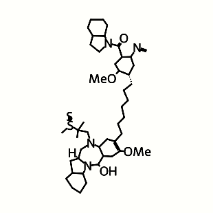 C=NC1C[C@H](CCCCCCCC2=C(OC)CC3C(C2)N(CC(C)(C)S(C)=S)C[C@@H]2CC4CCCCC4N2C3O)C(OC)CC1C(=O)N1CCC2CCCCC21